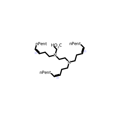 CCCCC/C=C\CCN(CC/C=C\CCCCC)CCN(CC/C=C\CCCCC)CC(=O)O